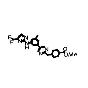 COC(=O)C1CCC(Cc2ncc(-c3cc(C)cc(Nc4nccc(C(F)F)n4)c3)cn2)CC1